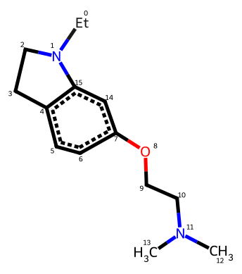 CCN1CCc2ccc(OCCN(C)C)cc21